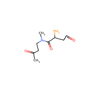 CC(=O)CCN(C)C(=O)C(P)CC=O